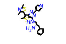 Cc1nc(C)c(-c2c(C)sc3c(NC[C@@H](N)Cc4ccccc4)nc(-c4ccncc4)nc23)s1